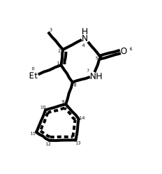 [CH2]CC1=C(C)NC(=O)NC1c1ccccc1